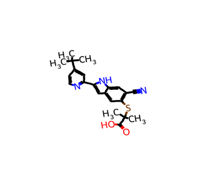 CC(C)(Sc1cc2cc(-c3cc(C(C)(C)C)ccn3)[nH]c2cc1C#N)C(=O)O